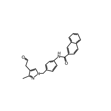 Cc1nn(Cc2ccc(NC(=O)c3ccc4ccccc4c3)cc2)cc1CC=O